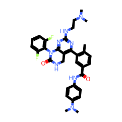 Cc1ccc(C(=O)Nc2ccc(N(C)C)cc2)cc1-c1nc(NCCN(C)C)nc2c1CNC(=O)N2c1c(F)cccc1F